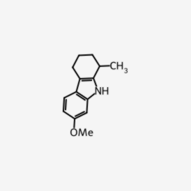 COc1ccc2c3c([nH]c2c1)C(C)CCC3